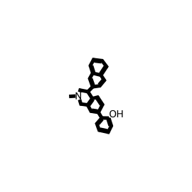 CN1Cc2cc(-c3ccccc3O)ccc2C(c2ccc3ccccc3c2)C1